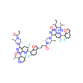 C=CC(=O)N1C[C@H](C)N(c2nc(=O)n(-c3c(C)ccnc3C(C)C)c3nc(-c4c(F)ccc5c(/C=C/C(=O)N6C[C@H](C)N(c7nc(=O)n(/C(C(=N)C(C)C)=C(\C)C=C)c8nc(-c9c(F)ccc%10ccoc9%10)c(F)cc78)C[C@H]6C)coc45)c(F)cc23)C[C@H]1C